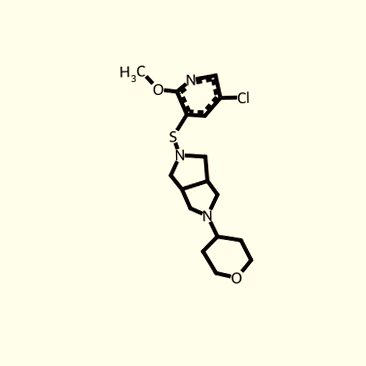 COc1ncc(Cl)cc1SN1CC2CN(C3CCOCC3)CC2C1